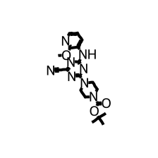 COc1ncccc1Nc1nc(C#N)nc(N2CCN(C(=O)OC(C)(C)C)CC2)n1